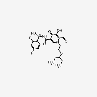 CCC(CC)OCCn1cc(C(=O)N[C@H](C)c2ccc(F)cc2F)c(=O)c(O)c1C=O